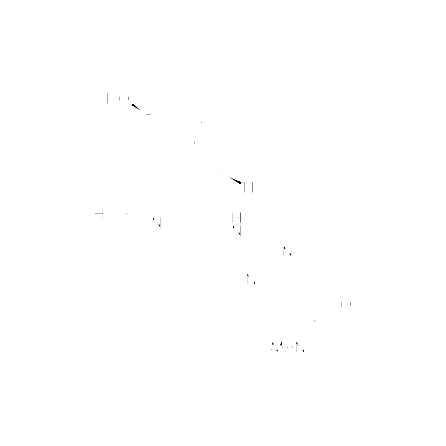 CNC(=O)c1cnc(NC2CCN(C(=O)O)[C@@H]2C2C3CC4C[C@H]2C[C@@](O)(C4)C3)nc1